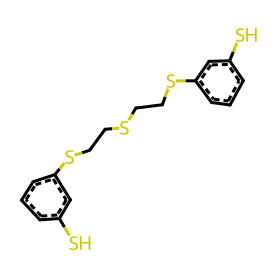 Sc1cccc(SCCSCCSc2cccc(S)c2)c1